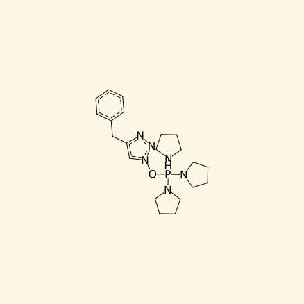 c1ccc(Cc2cn(O[PH](N3CCCC3)(N3CCCC3)N3CCCC3)nn2)cc1